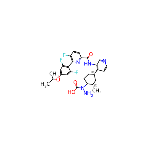 CC(C)Oc1cc(F)c(-c2nc(C(=O)Nc3cnccc3[C@@H]3CCC(N(N)C(=O)O)[C@@H](C)C3)ccc2F)c(F)c1